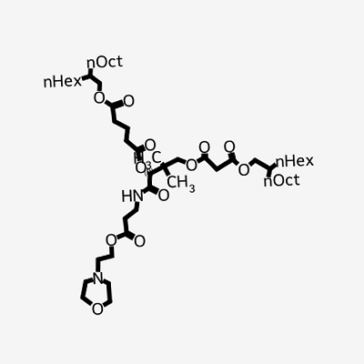 CCCCCCCCC(CCCCCC)COC(=O)CCCC(=O)O[C@@H](C(=O)NCCC(=O)OCCN1CCOCC1)C(C)(C)COC(=O)CC(=O)OCC(CCCCCC)CCCCCCCC